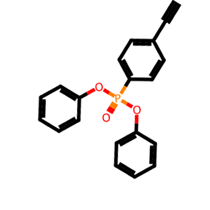 C#Cc1ccc(P(=O)(Oc2ccccc2)Oc2ccccc2)cc1